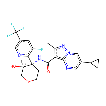 Cc1nn2cc(C3CC3)cnc2c1C(=O)N[C@]1(c2ncc(C(F)(F)F)cc2F)CCOC[C@@]1(C)O